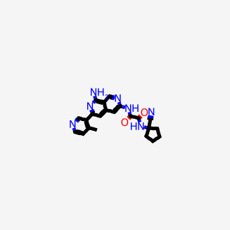 Cc1ccncc1-c1cc2cc(NC(=O)C(=O)NC3(C#N)CCCC3)ncc2c(N)n1